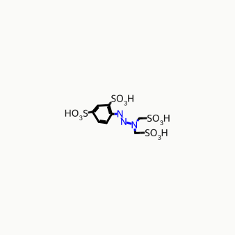 O=S(=O)(O)CN(CS(=O)(=O)O)N=Nc1ccc(S(=O)(=O)O)cc1S(=O)(=O)O